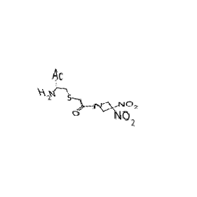 CC(=O)[C@@H](N)CSCC(=O)N1CC([N+](=O)[O-])([N+](=O)[O-])C1